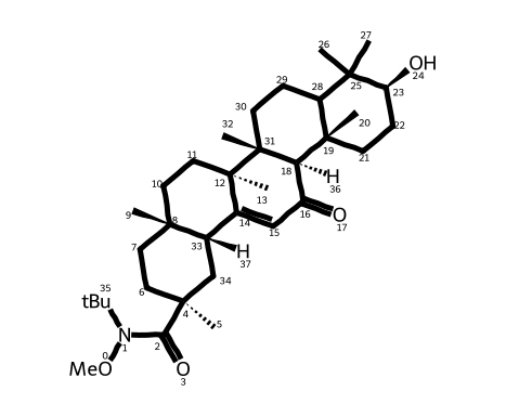 CON(C(=O)[C@@]1(C)CC[C@]2(C)CC[C@]3(C)C(=CC(=O)[C@@H]4[C@@]5(C)CC[C@H](O)C(C)(C)C5CC[C@]43C)[C@@H]2C1)C(C)(C)C